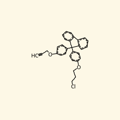 C#CCOc1ccc(C2(c3ccc(OCCCCl)cc3)c3ccccc3-c3ccccc32)cc1